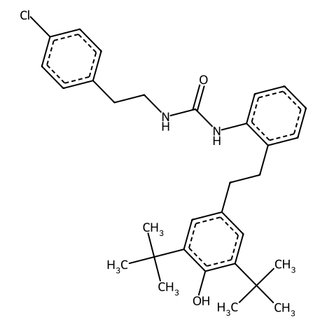 CC(C)(C)c1cc(CCc2ccccc2NC(=O)NCCc2ccc(Cl)cc2)cc(C(C)(C)C)c1O